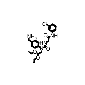 CCOC(CN(C(=O)NCC(=O)Nc1cccc(Cl)c1)c1ccc(CN)cc1)OCC